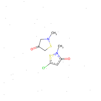 CN1CC(=O)CS1.Cn1sc(Cl)cc1=O